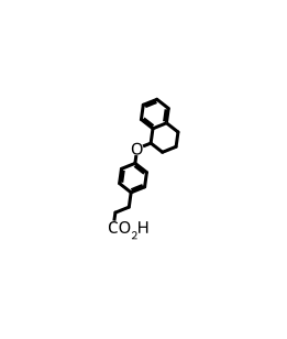 O=C(O)CCc1ccc(OC2CCCc3ccccc32)cc1